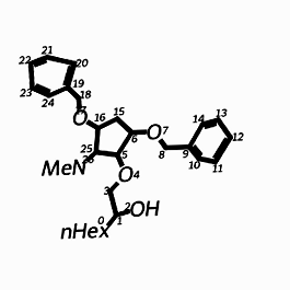 CCCCCCC(O)COC1C(OCc2ccccc2)CC(OCc2ccccc2)C1NC